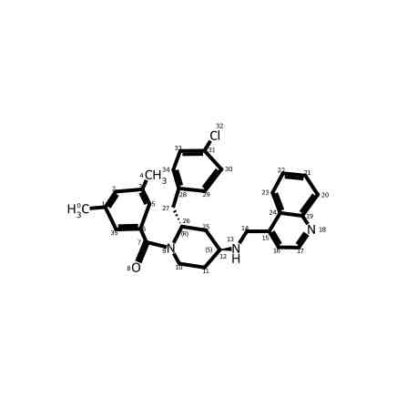 Cc1cc(C)cc(C(=O)N2CC[C@H](NCc3ccnc4ccccc34)C[C@H]2Cc2ccc(Cl)cc2)c1